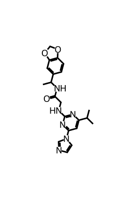 CC(C)c1cc(-n2ccnc2)nc(NCC(=O)NC(C)c2ccc3c(c2)OCO3)n1